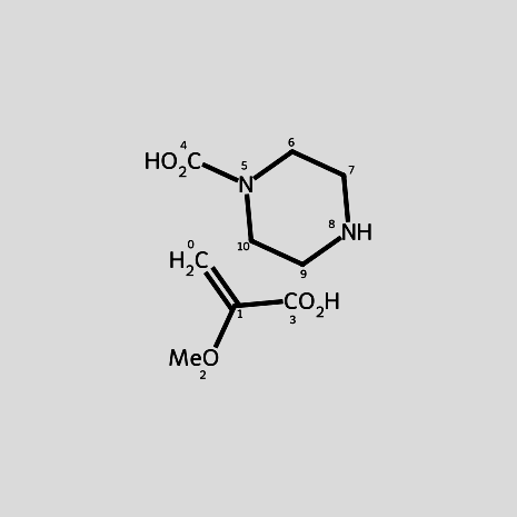 C=C(OC)C(=O)O.O=C(O)N1CCNCC1